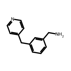 NCc1cccc(Cc2ccncc2)c1